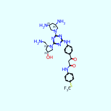 NC[C@@H]1C[C@H](O)CN1c1nc(Nc2ccc(C(=O)CC(=O)Nc3ccc(SC(F)(F)F)cc3)cc2)nc(N2C[C@H](N)C[C@H](N)C2)n1